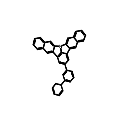 C1=CCC(c2cccc(-c3cc4c5cc6ccccc6cc5n5c6cc7ccccc7cc6c(c3)c45)c2)C=C1